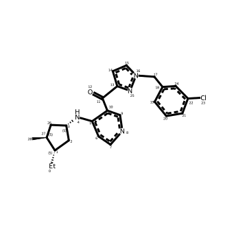 CC[C@H]1C[C@@H](Nc2ccncc2C(=O)c2ccn(Cc3cccc(Cl)c3)n2)C[C@@H]1C